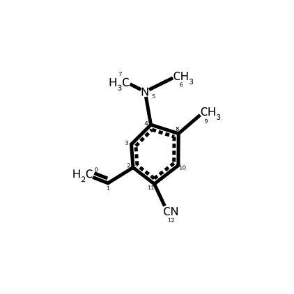 C=Cc1cc(N(C)C)c(C)cc1C#N